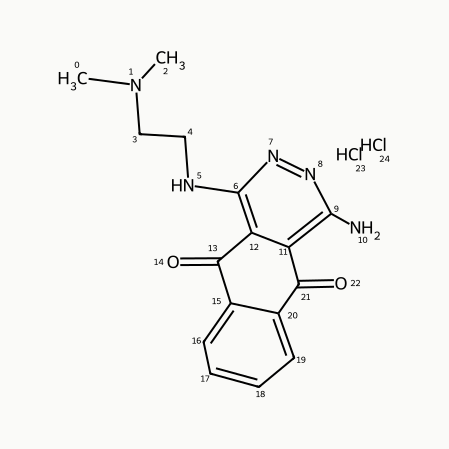 CN(C)CCNc1nnc(N)c2c1C(=O)c1ccccc1C2=O.Cl.Cl